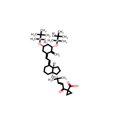 C=C1/C(=C\C=C2/CCC[C@]3(C)[C@@H](C(C)(C)/C=C/C(=O)C4(C(=O)O)CC4)CC[C@@H]23)C[C@@H](O[Si](C)(C)C(C)(C)C)C[C@@H]1O[Si](C)(C)C(C)(C)C